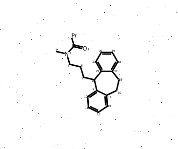 CC(C)C(=O)N(C)CCCC1c2ccccc2CCc2ccccc21